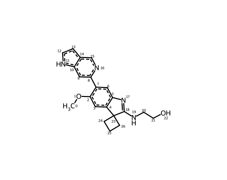 COc1cc2c(cc1-c1cc3[nH]ccc3cn1)N=C(NCCO)C21CCC1